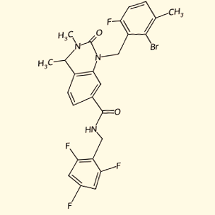 Cc1ccc(F)c(CN2C(=O)N(C)C(C)c3ccc(C(=O)NCc4c(F)cc(F)cc4F)cc32)c1Br